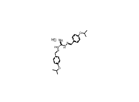 CC(C)Oc1ccc(C=NNC(=N)NN=Cc2ccc(OC(C)C)cc2)cc1.Cl